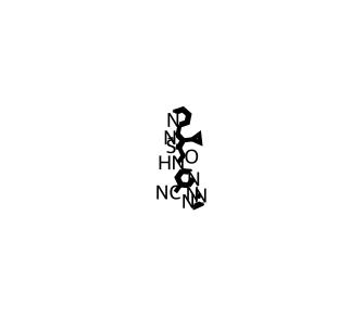 N#Cc1cc(NC(=O)c2snc(-c3ccccn3)c2C2CC2)cnc1-n1nccn1